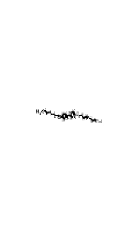 CCCCCCCCOc1ccc(-c2cnc(OCCCCOCCCC)cn2)nc1